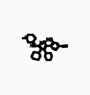 C#Cc1ccc(-c2nnc(N[C@@H]3CCCN(C)C3)c(C3CCCCC3)c2C2CCCCC2)c(O)c1